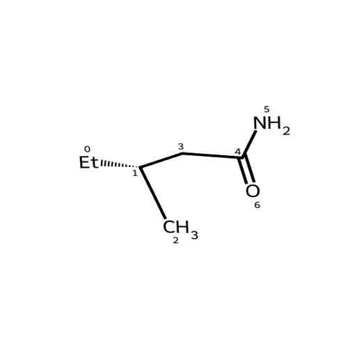 CC[C@@H](C)CC(N)=O